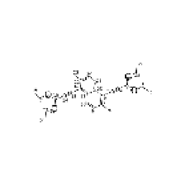 CCOC(C#Cc1c(C)ccc2c(C#CC(OCC)OCC)c(C)ccc12)OCC